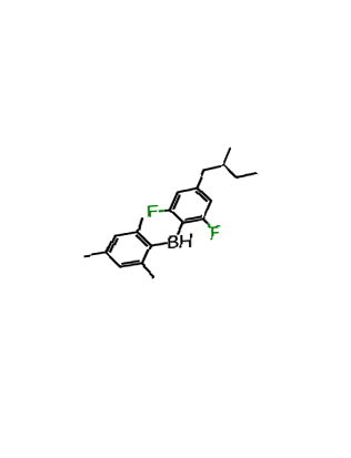 CCC(C)Cc1cc(F)c(Bc2c(C)cc(C)cc2C)c(F)c1